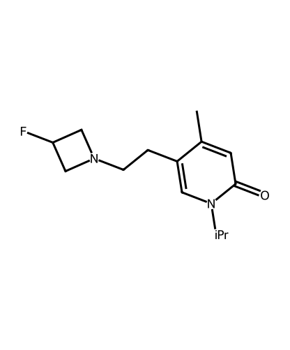 Cc1cc(=O)n(C(C)C)cc1CCN1CC(F)C1